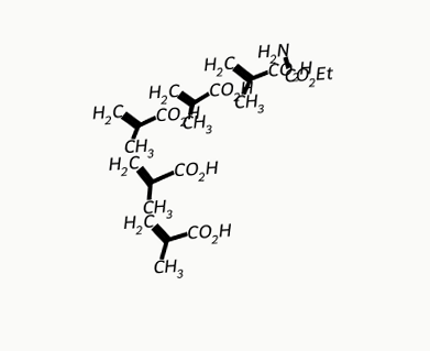 C=C(C)C(=O)O.C=C(C)C(=O)O.C=C(C)C(=O)O.C=C(C)C(=O)O.C=C(C)C(=O)O.CCOC(N)=O